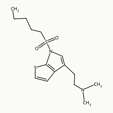 CCCCCS(=O)(=O)n1cc(CCN(C)C)c2ccsc21